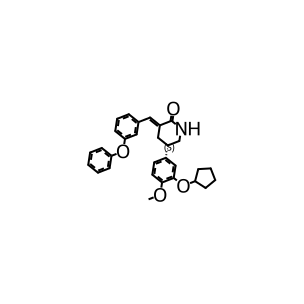 COc1ccc([C@H]2CNC(=O)C(=Cc3cccc(Oc4ccccc4)c3)C2)cc1OC1CCCC1